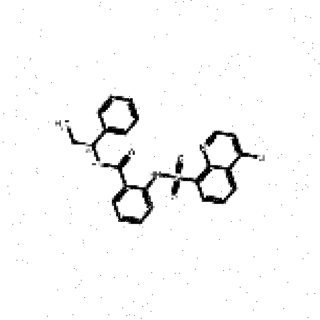 CC[C@H](NC(=O)c1ccccc1NS(=O)(=O)c1cccc2c(Cl)ccnc12)c1ccccc1